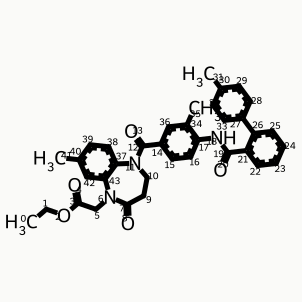 CCOC(=O)CN1C(=O)CCN(C(=O)c2ccc(NC(=O)c3ccccc3-c3ccc(C)cc3)c(C)c2)c2ccc(C)cc21